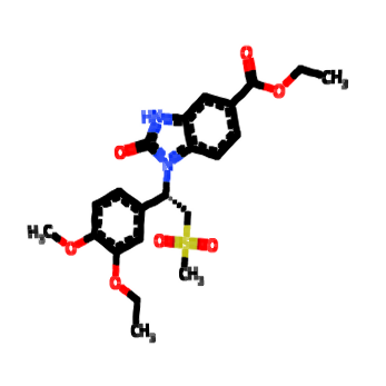 CCOC(=O)c1ccc2c(c1)[nH]c(=O)n2[C@H](CS(C)(=O)=O)c1ccc(OC)c(OCC)c1